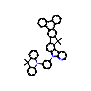 CC1(C)c2ccccc2N(c2cccc(-n3c4ccc5c(c4c4cccnc43)C(C)(C)c3cc4c6ccccc6c6ccccc6c4cc3-5)c2)c2ccccc21